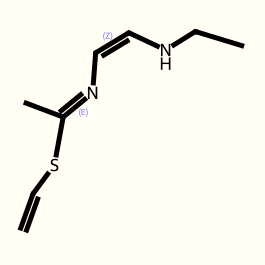 C=CS/C(C)=N/C=C\NCC